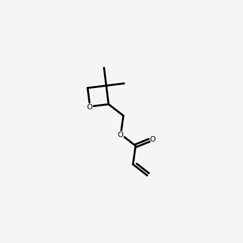 C=CC(=O)OCC1OCC1(C)C